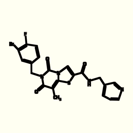 Cc1c(=O)n(Cc2ccc(F)c(Br)c2)c(=O)n2cc(C(=O)NCc3cccnc3)sc12